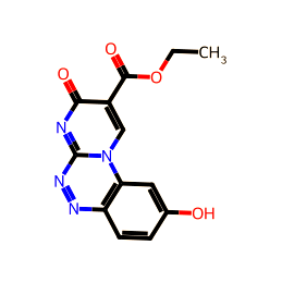 CCOC(=O)c1cn2c(nnc3ccc(O)cc32)nc1=O